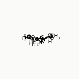 CS(=O)(=O)NCC#Cc1cnc(N)c2c(-c3ccc(NC(=O)Nc4cccc(C(F)(F)F)c4)cc3)csc12